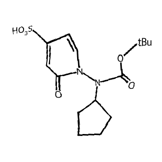 CC(C)(C)OC(=O)N(C1CCCC1)n1ccc(S(=O)(=O)O)cc1=O